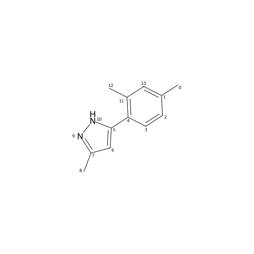 Cc1ccc(-c2cc(C)n[nH]2)c(C)c1